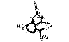 COC(=O)c1cccc2c1=C(N)NC(=C=O)C=2.O